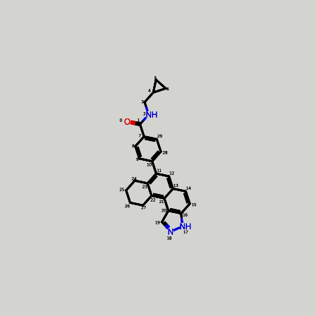 O=C(NCC1CC1)c1ccc(-c2cc3ccc4[nH]ncc4c3c3c2CCCC3)cc1